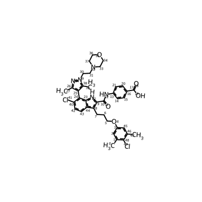 Cc1cc(OCCCc2c(C(=O)Nc3ccc(C(=O)O)cc3)[nH]c3c(-c4c(C)nn(CCN5CCOCC5)c4C)c(Cl)ccc23)cc(C)c1Cl